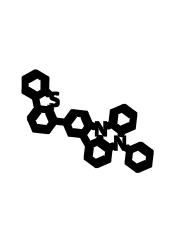 C1=CCC(N2c3ccccc3-n3c4ccc(-c5cccc6c5sc5ccccc56)cc4c4cccc2c43)C=C1